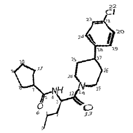 CCC[C@@H](NC(=O)C1CCCC1)C(=O)N1CCC(c2ccc(Cl)cc2)CC1